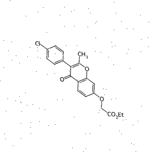 CCOC(=O)COc1ccc2c(=O)c(-c3ccc(Cl)cc3)c(C)oc2c1